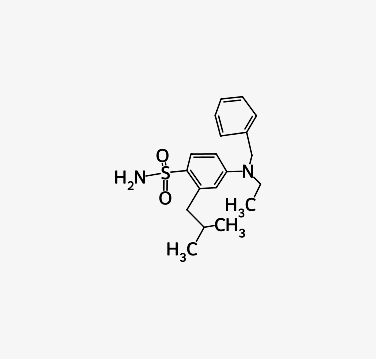 CCN(Cc1ccccc1)c1ccc(S(N)(=O)=O)c(CC(C)C)c1